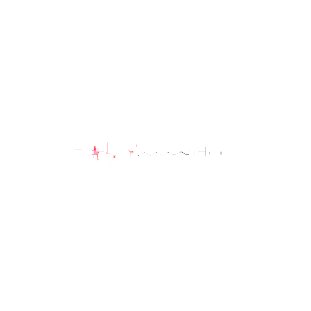 CCCCCCC=CCCCCCCCC(=O)OC[C@H](O)COP(=O)(O)O